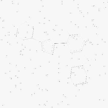 FC(F)(F)c1cnc(NC2CCNCC2)nc1-c1cnn(C2CCOCC2)c1